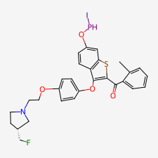 Cc1ccccc1C(=O)c1sc2cc(OPI)ccc2c1Oc1ccc(OCCN2CC[C@@H](CF)C2)cc1